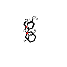 C=CCO[C@H]1C[C@H]2CCC[C@@H](C1)N2Oc1ccc(C(F)(F)F)cn1